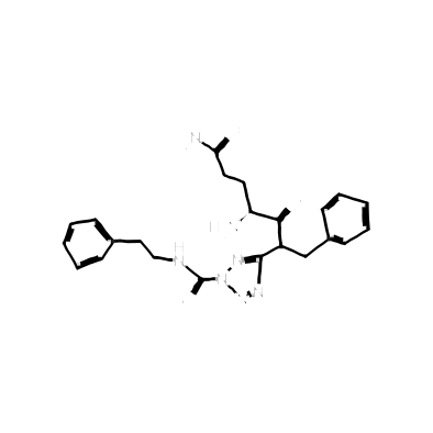 NC(=O)CC[C@H](N)C(=O)[C](Cc1ccccc1)c1nnn(C(=O)NCCc2ccccc2)n1